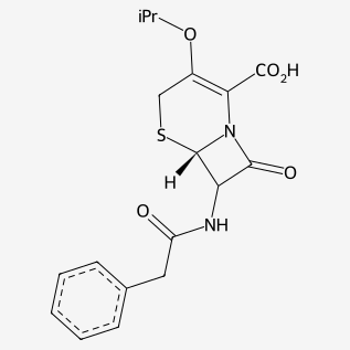 CC(C)OC1=C(C(=O)O)N2C(=O)C(NC(=O)Cc3ccccc3)[C@@H]2SC1